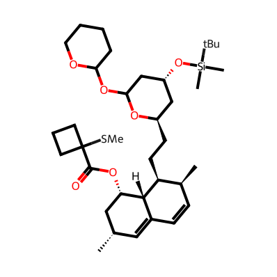 CSC1(C(=O)O[C@H]2C[C@@H](C)C=C3C=C[C@H](C)[C@H](CC[C@@H]4C[C@@H](O[Si](C)(C)C(C)(C)C)CC(OC5CCCCO5)O4)[C@H]32)CCC1